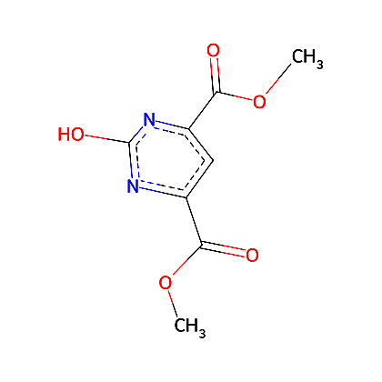 COC(=O)c1cc(C(=O)OC)nc(O)n1